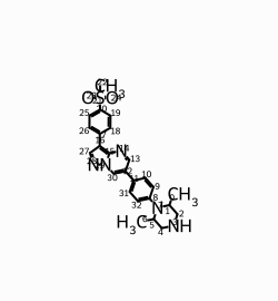 CC1CNCC(C)N1c1ccc(-c2cnc3c(-c4ccc(S(C)(=O)=O)cc4)cnn3c2)cc1